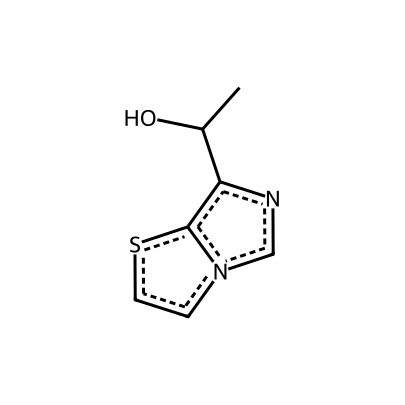 CC(O)c1ncn2ccsc12